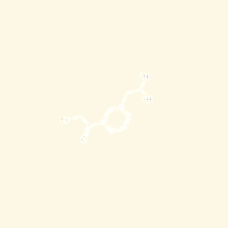 [2H]C([2H])Cc1cccc(C(=O)CBr)c1